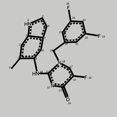 Cc1cc2[nH]ccc2cc1Nc1nc(=O)c(F)cn1Cc1cc(F)cc(F)c1